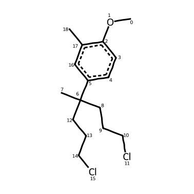 COc1ccc(C(C)(CCCCl)CCCCl)cc1C